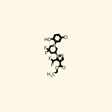 CCOC(=O)c1cnn(C2CN(c3cc(Cl)ccc3O)CC(F)(F)C2)c1C(F)F